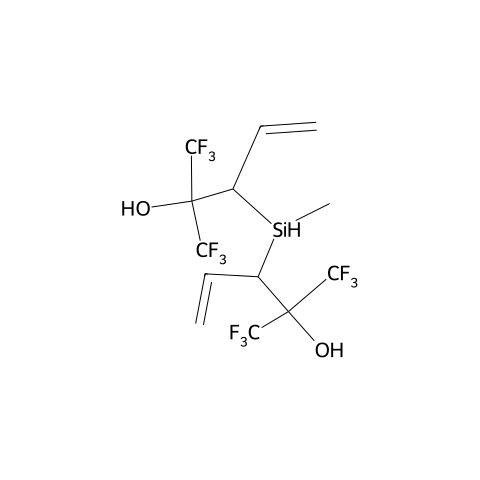 C=CC([SiH](C)C(C=C)C(O)(C(F)(F)F)C(F)(F)F)C(O)(C(F)(F)F)C(F)(F)F